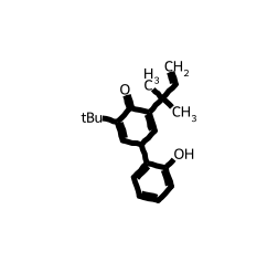 C=CC(C)(C)C1=CC(c2ccccc2O)C=C(C(C)(C)C)C1=O